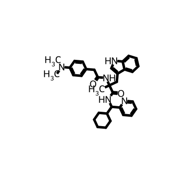 CN(C)c1ccc(CC(=O)NC(C)(Cc2c[nH]c3ccccc23)C(=O)NC(c2ccccn2)C2CCCCC2)cc1